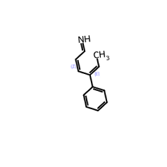 C/C=C(\C=C/C=N)c1ccccc1